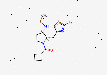 CSN[C@H]1CCN(C(=O)C2CCC2)[C@H]1Cc1csc(Br)n1